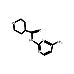 Nc1ccnc(NC(=O)C2CCNCC2)n1